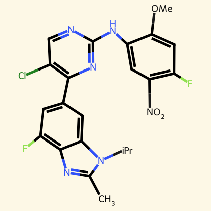 COc1cc(F)c([N+](=O)[O-])cc1Nc1ncc(Cl)c(-c2cc(F)c3nc(C)n(C(C)C)c3c2)n1